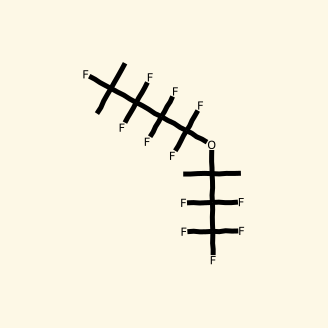 CC(C)(F)C(F)(F)C(F)(F)C(F)(F)OC(C)(C)C(F)(F)C(F)(F)F